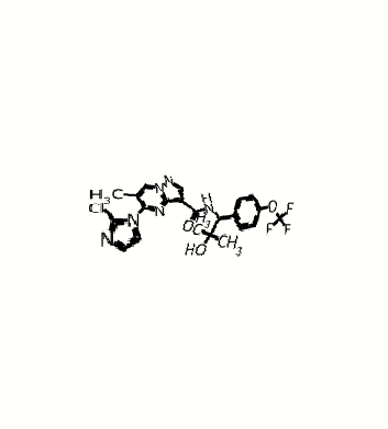 Cc1cn2ncc(C(=O)N[C@@H](c3ccc(OC(F)(F)F)cc3)C(C)(C)O)c2nc1-n1ccnc1Cl